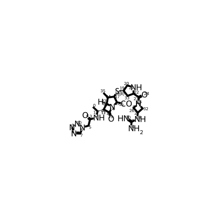 CC(NC(=O)Cn1cnnn1)[C@H]1C(=O)N2C(C(=O)O)C(S[C@H]3CNC(C(=O)N4CC(NC(=N)N)C4)C3)C(C)[C@H]12